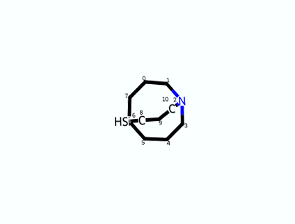 C1CN2CCC[SiH](C1)CCC2